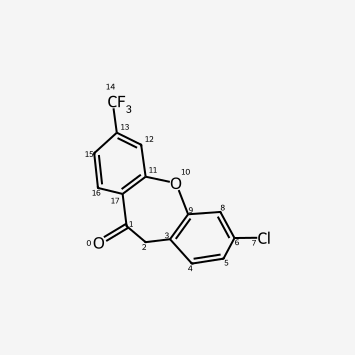 O=C1Cc2ccc(Cl)cc2Oc2cc(C(F)(F)F)ccc21